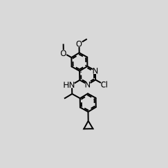 COc1cc2nc(Cl)nc(NC(C)c3cccc(C4CC4)c3)c2cc1OC